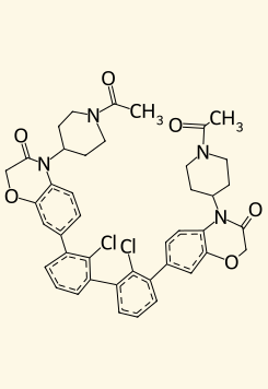 CC(=O)N1CCC(N2C(=O)COc3cc(-c4cccc(-c5cccc(-c6ccc7c(c6)OCC(=O)N7C6CCN(C(C)=O)CC6)c5Cl)c4Cl)ccc32)CC1